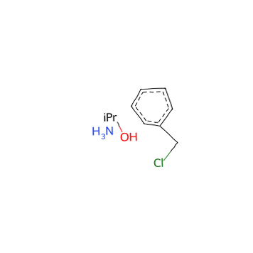 CC(C)O.ClCc1ccccc1.N